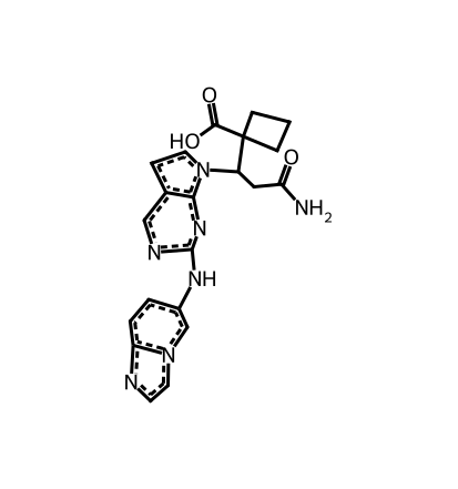 NC(=O)CC(n1ccc2cnc(Nc3ccc4nccn4c3)nc21)C1(C(=O)O)CCC1